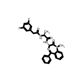 C[C@H](NC(=O)Cc1cc(F)cc(F)c1)C(=O)N[C@H]1N=C(c2ccccc2)c2ccccc2N(C)C1=O